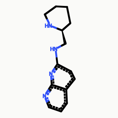 c1cnc2nc(NC[C@@H]3CCCCN3)ccc2c1